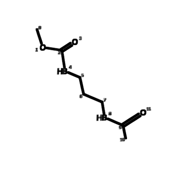 COC(=O)BCCCBC(C)=O